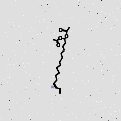 C=C/C=C\CCCCCCCCCCCC(OC(C)=O)OC(C)=O